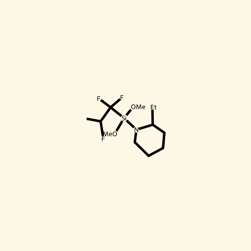 CCC1CCCCN1[Si](OC)(OC)C(F)(F)C(C)F